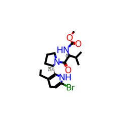 CCC1=C([C@@H]2CCCN2C(=O)[C@@H](NC(=O)OC)C(C)C)NC(Br)=CC1